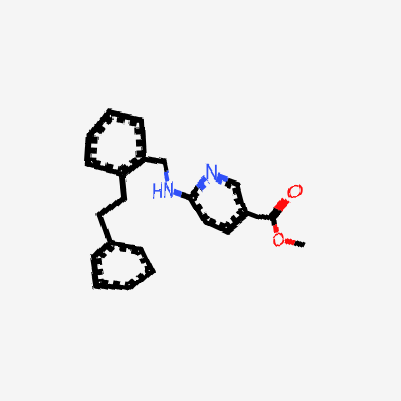 COC(=O)c1ccc(NCc2ccccc2CCc2ccccc2)nc1